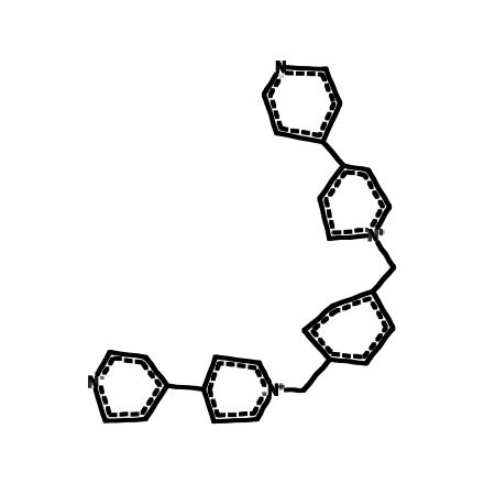 c1cc(-c2cc[n+](Cc3ccc(C[n+]4ccc(-c5ccncc5)cc4)cc3)cc2)ccn1